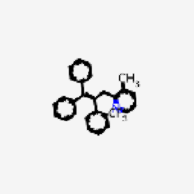 Cc1cccnc1CC(=C(c1ccccc1)c1ccccc1)c1ccccc1C(F)(F)F